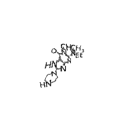 CCN(C)c1nc2nc(N3CCNCC3)[nH]c2c(=O)n1C